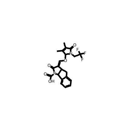 CC1=C(C)C(O/C=C2/C(=O)N(C(=O)O)C3c4ccccc4CC23)N(CC(F)(F)F)C1=O